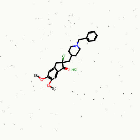 CCOc1cc2c(cc1OCC)C(=O)C(Cl)(CC1CCN(Cc3ccccc3)CC1)C2.Cl